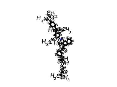 C=CC(=O)N(N)c1ccc(C(=O)Nc2cc(OCC)c(/N=N/c3c(O)c(C(=O)Nc4cccc(NC(=O)NCCOC(=O)C(=C)C)c4)cc4ccccc34)cc2OCC)cc1